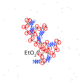 CCOC(=O)CCC(=O)OCC(CN=[N+]=[N-])(COC(=O)CCC(=O)OCC(CN=[N+]=[N-])(COC(=O)CCC(=O)OCC1(CN=[N+]=[N-])COC(C)(C)OC1)COC(=O)CCC(=O)OCC1(CN=[N+]=[N-])COC(C)(C)OC1)COC(=O)CCC(=O)OCC(CN=[N+]=[N-])(COC(=O)CCC(=O)OCC1(CN=[N+]=[N-])COC(C)(C)OC1)COC(=O)CCC(=O)OCC1(CN=[N+]=[N-])COC(C)(C)OC1